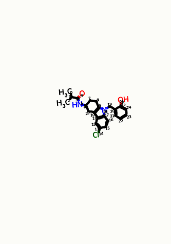 CC(C)C(=O)NC1CCc2c(c3cc(Cl)ccc3n2Cc2ccccc2O)C1